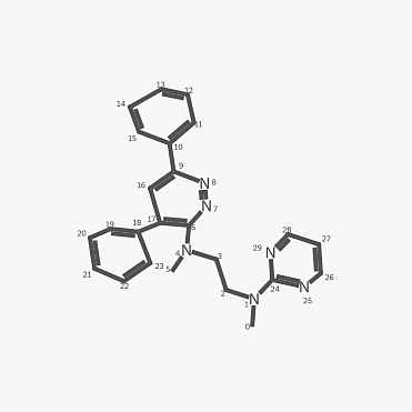 CN(CCN(C)c1nnc(-c2ccccc2)cc1-c1ccccc1)c1ncccn1